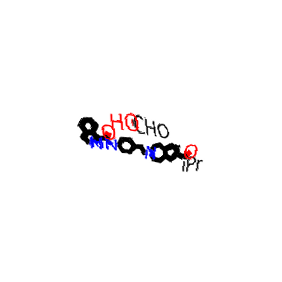 CC(C)C(=O)c1ccc2c(c1)CCN(CCC1CCC(NC(=O)c3nccc4ccccc34)CC1)CC2.O=CO